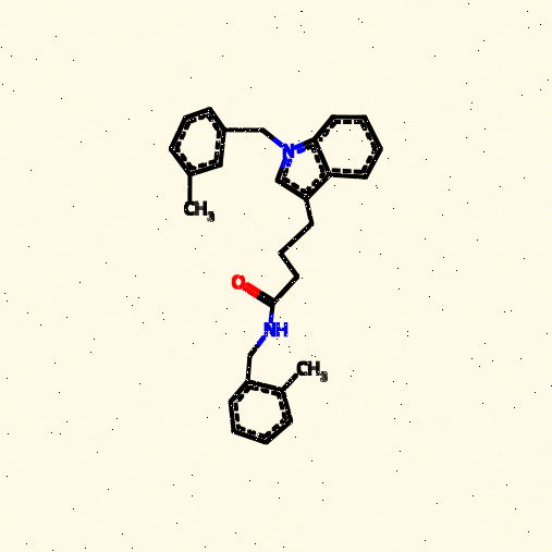 Cc1cccc(Cn2cc(CCCC(=O)NCc3ccccc3C)c3ccccc32)c1